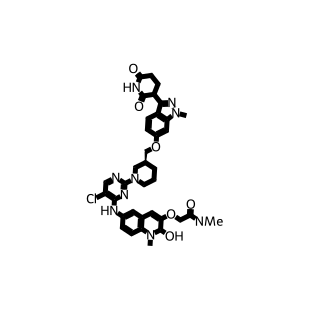 CNC(=O)COC1=Cc2cc(Nc3nc(N4CCC[C@H](COc5ccc6c(C7CCC(=O)NC7=O)nn(C)c6c5)C4)ncc3Cl)ccc2N(C)C1O